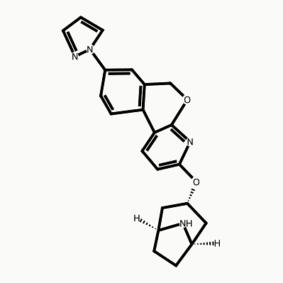 c1cnn(-c2ccc3c(c2)COc2nc(O[C@@H]4C[C@H]5CC[C@@H](C4)N5)ccc2-3)c1